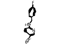 Fc1ccc(CNc2ccc(Br)cn2)cc1